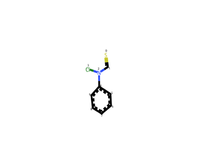 S=CN(Cl)c1ccccc1